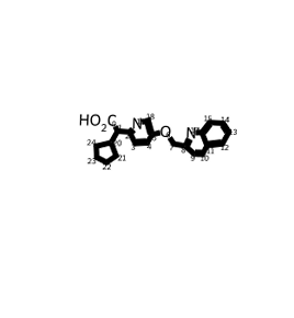 O=C(O)C(c1ccc(OCc2ccc3ccccc3n2)cn1)C1CCCC1